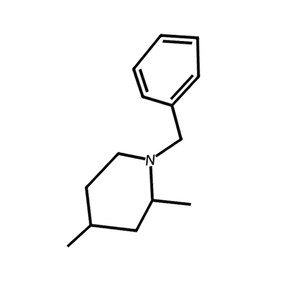 CC1CCN(Cc2ccccc2)C(C)C1